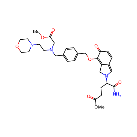 COC(=O)CCC(C(N)=O)N1C=C2C=CC(=O)C(OCc3ccc(CN(CCN4CCOCC4)CC(=O)OC(C)(C)C)cc3)=C2C1